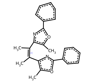 C/C(=C(\C)c1nc(-c2ccccc2)oc1C)c1nc(-c2ccccc2)oc1C